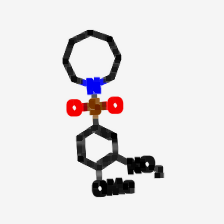 COc1ccc(S(=O)(=O)N2CCCCCCC2)cc1[N+](=O)[O-]